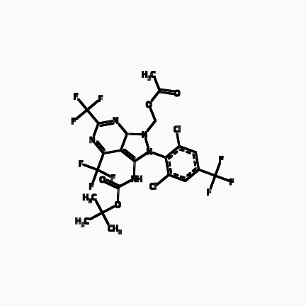 CC(=O)OCN1C2N=C(C(F)(F)F)N=C(C(F)(F)F)C2=C(NC(=O)OC(C)(C)C)N1c1c(Cl)cc(C(F)(F)F)cc1Cl